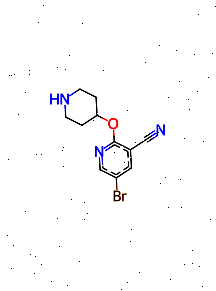 N#Cc1cc(Br)cnc1OC1CCNCC1